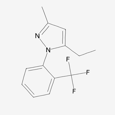 CCc1cc(C)nn1-c1ccccc1C(F)(F)F